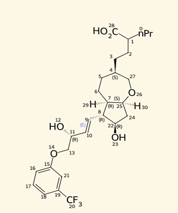 CCCC(CC[C@@H]1CC[C@@H]2[C@@H](/C=C/[C@@H](O)COc3cccc(C(F)(F)F)c3)[C@H](O)C[C@@H]2OC1)C(=O)O